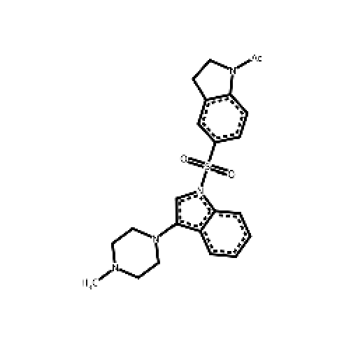 CC(=O)N1CCc2cc(S(=O)(=O)n3cc(N4CCN(C)CC4)c4ccccc43)ccc21